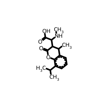 CNC(C(=O)O)C1C(=O)Oc2c(C(C)C)cccc2C1C